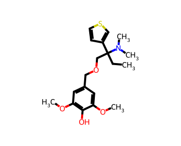 CCC(COCc1cc(OC)c(O)c(OC)c1)(c1ccsc1)N(C)C